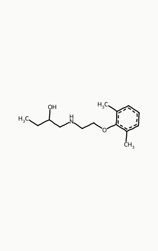 CCC(O)CNCCOc1c(C)cccc1C